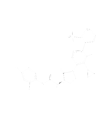 CP(C)(=O)c1ccccc1-c1ccc(N2CC[C@@H](NC(=O)Nc3ccc(Cl)cc3F)C2=O)c(C2CC2)c1F